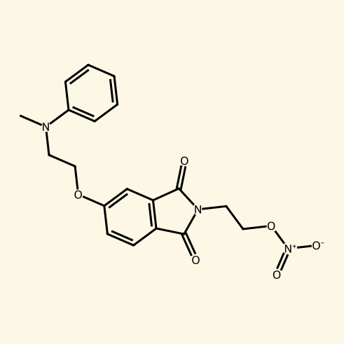 CN(CCOc1ccc2c(c1)C(=O)N(CCO[N+](=O)[O-])C2=O)c1ccccc1